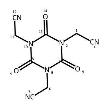 N#CCn1c(=O)n(CC#N)c(=O)n(CC#N)c1=O